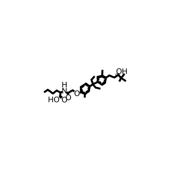 CCCCC(NC(=O)COc1ccc(C(CC)(CC)c2ccc(CC[C@H](O)C(C)(C)C)c(C)c2)cc1C)C(=O)O